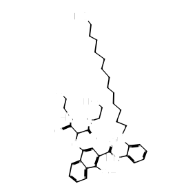 CCCCCCCCCCCCCCOc1ccccc1NC(=O)c1cc(OC(C(=O)NCCO)C(=O)NCCO)c2ccccc2c1O